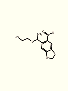 CC(SCCO)c1cc2c(cc1[N+](=O)[O-])OCO2